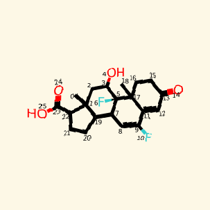 CC12CC(O)[C@@]3(F)C(C=C(F)C4=CC(=O)CCC43C)C1CCC2C(=O)O